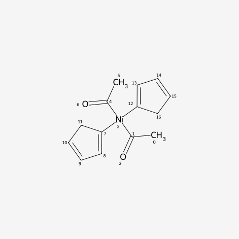 C[C](=O)[Ni]([C](C)=O)([C]1=CC=CC1)[C]1=CC=CC1